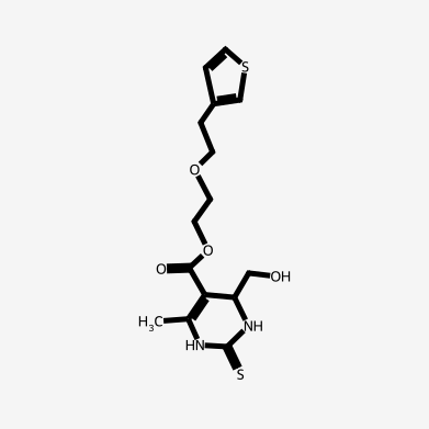 CC1=C(C(=O)OCCOCCc2ccsc2)C(CO)NC(=S)N1